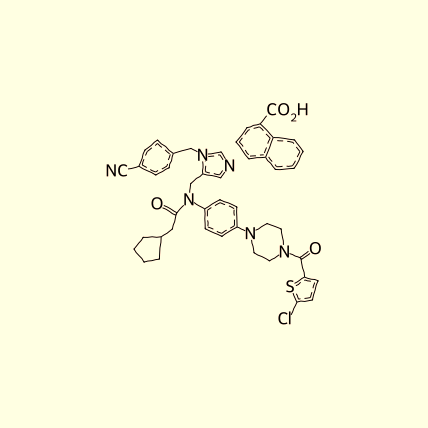 N#Cc1ccc(Cn2cncc2CN(C(=O)CC2CCCC2)c2ccc(N3CCN(C(=O)c4ccc(Cl)s4)CC3)cc2)cc1.O=C(O)c1cccc2ccccc12